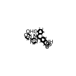 O=Cc1ccccc1-c1nc2c(N3CCOCC3)nccn2c1-c1ccc2c(c1)CS(=O)(=O)N2